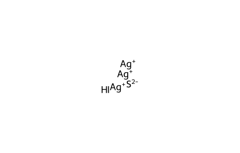 I.[Ag+].[Ag+].[Ag+].[S-2]